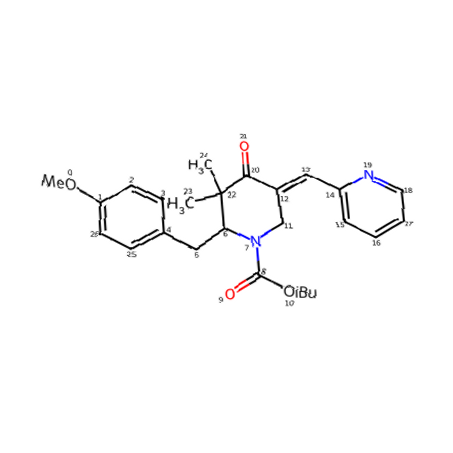 COc1ccc(CC2N(C(=O)OCC(C)C)CC(=Cc3ccccn3)C(=O)C2(C)C)cc1